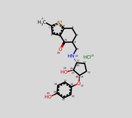 Cc1cc2c(s1)CCC(CN[C@@H]1CC[C@@H](Oc3ccc(O)cc3)[C@H]1O)C2=O.Cl